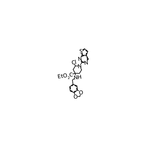 CCOC(=O)C1(NCc2ccc3c(c2)OCO3)CCN(c2ncc3ccsc3n2)C(Cl)C1